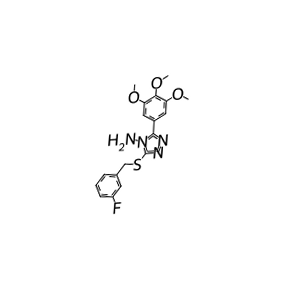 COc1cc(-c2nnc(SCc3cccc(F)c3)n2N)cc(OC)c1OC